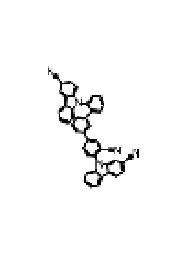 N#Cc1ccc2c(c1)c1ccccc1n2-c1ccccc1-c1cccc(-c2ccc(-n3c4ccccc4c4ccc(C#N)cc43)c(C#N)c2)c1